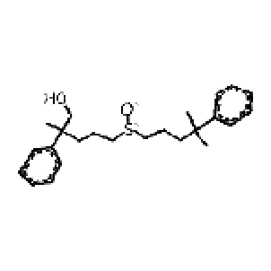 CC(C)(CCC[S+]([O-])CCCC(C)(CO)c1ccccc1)c1ccccc1